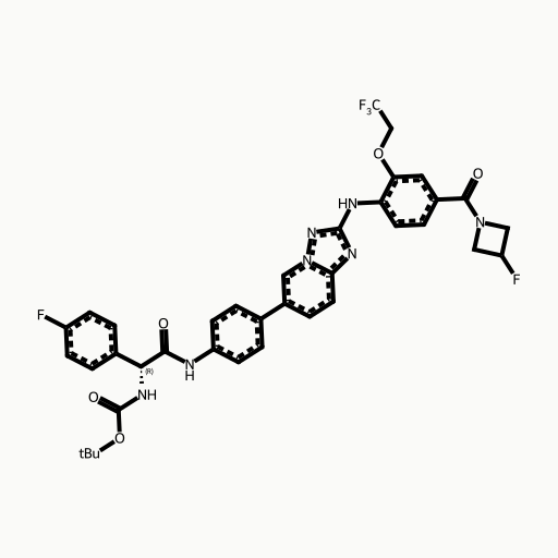 CC(C)(C)OC(=O)N[C@@H](C(=O)Nc1ccc(-c2ccc3nc(Nc4ccc(C(=O)N5CC(F)C5)cc4OCC(F)(F)F)nn3c2)cc1)c1ccc(F)cc1